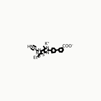 CCOc1nc(N2CCNCC2)nc2c1sc1nc(-c3ccc(-c4cccc(C(=O)[O-])c4)cc3)nc(C)c12.[K+]